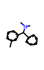 Cc1cccc(C(c2ccccc2)N(C)C)c1